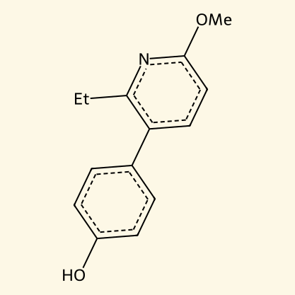 CCc1nc(OC)ccc1-c1ccc(O)cc1